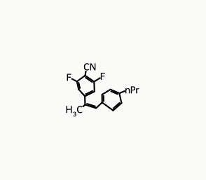 CCCc1ccc(C=C(C)c2cc(F)c(C#N)c(F)c2)cc1